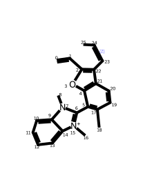 C=Cc1oc2c(-c3n(C)c4ccccc4[n+]3C)c(C)ccc2c1/C=C\C